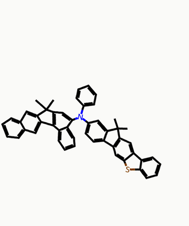 CC1(C)c2cc(N(c3ccccc3)c3cc4c(c5ccccc35)-c3cc5ccccc5cc3C4(C)C)ccc2-c2cc3sc4ccccc4c3cc21